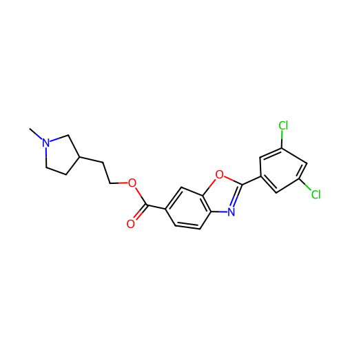 CN1CCC(CCOC(=O)c2ccc3nc(-c4cc(Cl)cc(Cl)c4)oc3c2)C1